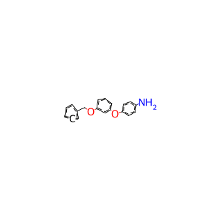 Nc1ccc(Oc2cccc(OCc3ccccc3)c2)cc1